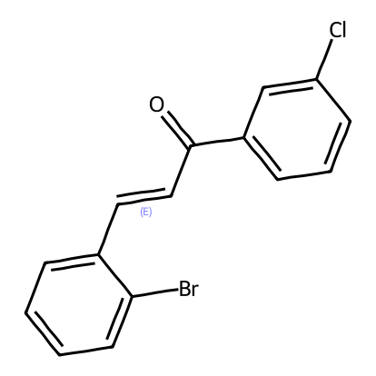 O=C(/C=C/c1ccccc1Br)c1cccc(Cl)c1